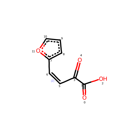 O=C(O)C(=O)/C=C\c1ccco1